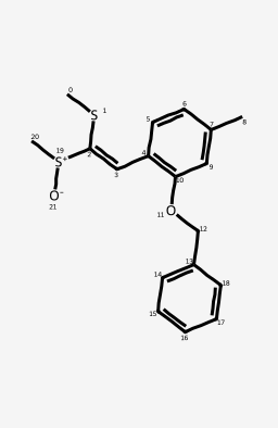 CS/C(=C\c1ccc(C)cc1OCc1ccccc1)[S+](C)[O-]